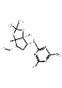 Cc1nc(Cl)nc(N[C@@H]2C[C@H](CO)[C@H]3OC(C)(C)O[C@H]32)n1